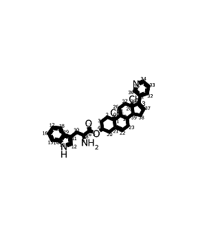 CC12CCC(OC(=O)C(N)Cc3c[nH]c4ccccc34)CC1=CCC1C2CCC2(C)C(c3cccnc3)=CCC12